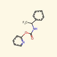 O=C(NC(c1ccccc1)C(F)(F)F)Oc1ccccn1